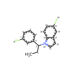 CCC(c1cccc(F)c1)n1ccc2cc(F)ccc21